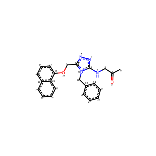 CC(=O)CNc1nnc(COc2cccc3ccccc23)n1Cc1ccccc1